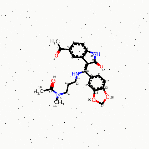 CC(=O)c1ccc2c(c1)C(=C(NCCCN(C)C(C)=O)c1ccc3c(c1)OCO3)C(=O)N2